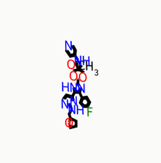 CC1(C(=O)Nc2ccncc2)COC(c2nc(-c3ccc(F)cc3)c(-c3ccnc(NCC4CCCO4)n3)[nH]2)OC1